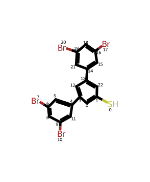 Sc1cc(-c2cc(Br)cc(Br)c2)cc(-c2cc(Br)cc(Br)c2)c1